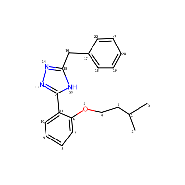 CC(C)CCOc1ccccc1-c1nnc(Cc2ccccc2)[nH]1